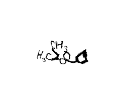 CCCC(CC)OC(=O)Cc1ccccc1